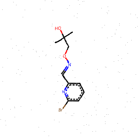 CC(C)(O)CON=Cc1cccc(Br)n1